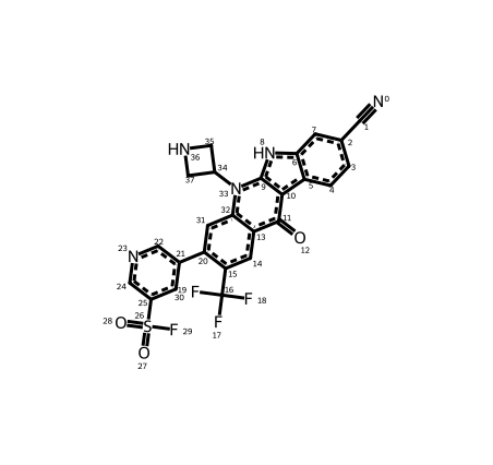 N#Cc1ccc2c(c1)[nH]c1c2c(=O)c2cc(C(F)(F)F)c(-c3cncc(S(=O)(=O)F)c3)cc2n1C1CNC1